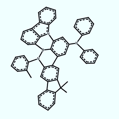 Cc1ccccc1N1B2c3c(cc(N(c4ccccc4)c4ccccc4)cc3-n3c4ccccc4c4cccc2c43)-c2cc3c(cc21)-c1ccccc1C3(C)C